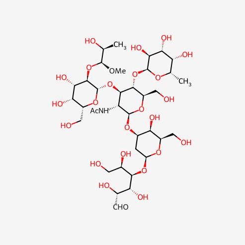 CO[C@@H](O[C@H]1[C@H](O[C@@H]2[C@@H](NC(C)=O)[C@H](O[C@@H]3C[C@H](O[C@@H]([C@H](O)[C@@H](O)C=O)[C@H](O)CO)O[C@H](CO)[C@@H]3O)O[C@H](CO)[C@H]2O[C@@H]2O[C@@H](C)[C@@H](O)[C@@H](O)[C@@H]2O)O[C@H](CO)[C@H](O)[C@@H]1O)[C@H](C)O